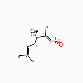 CC(C)=CCCC(C)=CC=O.[Ca]